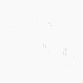 COC(=O)NC(C)c1cc(-c2sc(Oc3ccc(OC(C)C)cc3)nc2Cl)no1